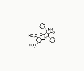 O=C1NC(c2ccccc2)=C2C(=O)N(Cc3cc(C(=O)O)cc(C(=O)O)c3)C(c3ccccc3)=C12